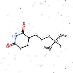 CO[Si](C)(CCCC1CCC(=O)NC1=O)OC